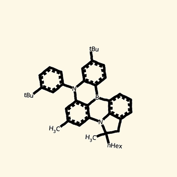 CCCCCCC1(C)Cc2cccc3c2N1c1cc(C)cc2c1B3c1ccc(C(C)(C)C)cc1N2c1cccc(C(C)(C)C)c1